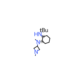 CN1CC(N(C)[C@H]2CCCC[C@@H]2NC(C)(C)C)C1